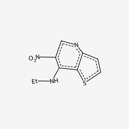 CCNc1c([N+](=O)[O-])cnc2ccsc12